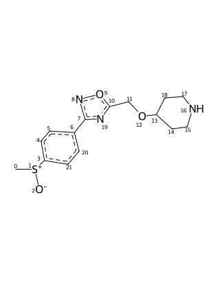 C[S+]([O-])c1ccc(-c2noc(COC3CCNCC3)n2)cc1